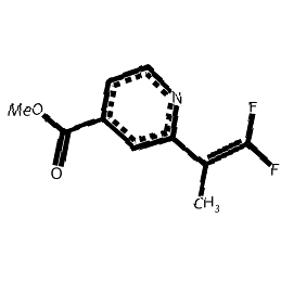 COC(=O)c1ccnc(C(C)=C(F)F)c1